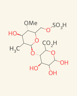 CO[C@@H]1C(COS(=O)(=O)O)O[C@@H](O[C@@H]2C(C(=O)O)OC(O)C(O)[C@H]2O)C(C)[C@H]1O